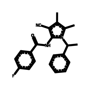 Cc1c(C#N)c(NC(=O)c2ccc(F)cc2)n(C(C)c2ccccc2)c1C